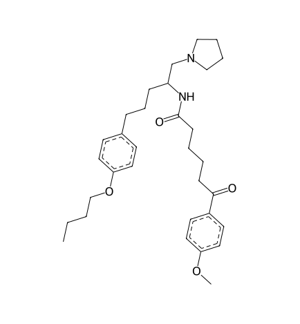 CCCCOc1ccc(CCCC(CN2CCCC2)NC(=O)CCCCC(=O)c2ccc(OC)cc2)cc1